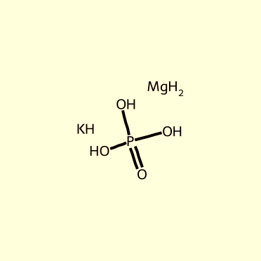 O=P(O)(O)O.[KH].[MgH2]